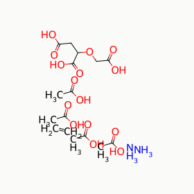 C=C.CC(=O)O.CC(=O)O.CC(=O)O.CC(=O)O.N.N.O=C(O)COC(CC(=O)O)C(=O)O